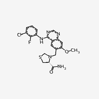 COc1cc2ncnc(Nc3cccc(Cl)c3F)c2cc1CN1CSC[C@H]1C(N)=O